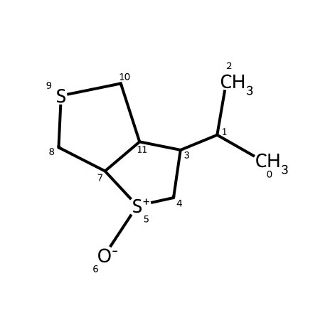 CC(C)C1C[S+]([O-])C2CSCC12